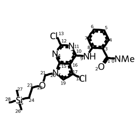 CNC(=O)c1ccccc1Nc1nc(Cl)nc2c1c(Cl)cn2COCC[Si](C)(C)C